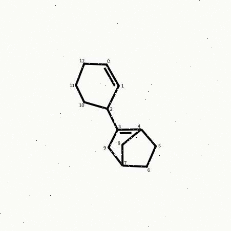 C1=CC(C2=C3CCC(C3)C2)CCC1